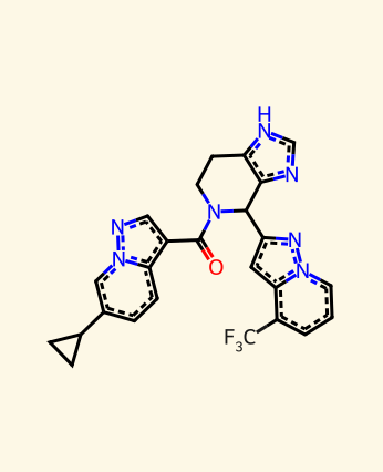 O=C(c1cnn2cc(C3CC3)ccc12)N1CCc2[nH]cnc2C1c1cc2c(C(F)(F)F)cccn2n1